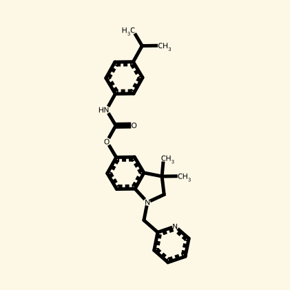 CC(C)c1ccc(NC(=O)Oc2ccc3c(c2)C(C)(C)CN3Cc2ccccn2)cc1